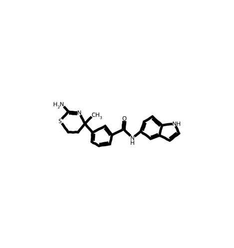 CC1(c2cccc(C(=O)Nc3ccc4[nH]ccc4c3)c2)CCSC(N)=N1